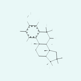 [2H]Oc1c([2H])c([2H])c2c(c1[2H])C([2H])([2H])C([2H])[C@@H]1[C@@H]2CC[C@@]2(C)[C@H]1CC([2H])([2H])[C@]2([2H])O